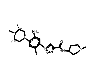 C[C@@H]1CN(c2cc(F)c(-n3cc(C(=O)NC4CCN(C)CC4)nn3)cc2N)C[C@H](C)N1C